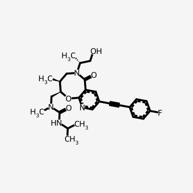 CC(C)NC(=O)N(C)C[C@@H]1Oc2ncc(C#Cc3ccc(F)cc3)cc2C(=O)N([C@H](C)CO)C[C@@H]1C